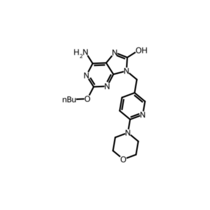 CCCCOc1nc(N)c2nc(O)n(Cc3ccc(N4CCOCC4)nc3)c2n1